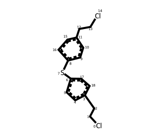 ClCCc1ccc(Sc2ccc(CCCl)cc2)cc1